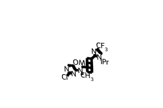 COc1cnc(Cl)nc1N(C)CC12C3C4C1C1C2C3C41c1nc(C(F)(F)F)cn1C(C)C